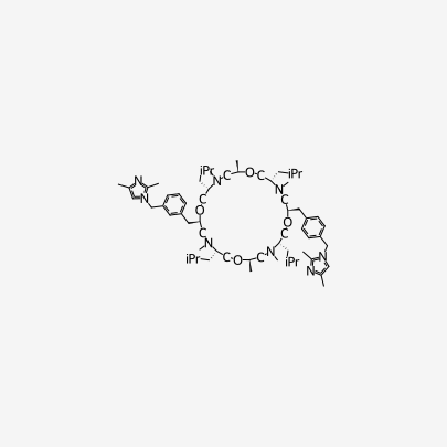 Cc1cn(Cc2ccc(C[C@@H]3CN(C)[C@@H](CC(C)C)CO[C@H](C)CN(C)[C@@H](CC(C)C)CO[C@H](Cc4cccc(Cn5cc(C)nc5C)c4)CN(C)[C@@H](CC(C)C)CO[C@H](C)CN(C)[C@@H](CC(C)C)CO3)cc2)c(C)n1